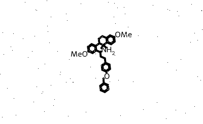 COc1ccc2c(c1)CCC(c1ccc(OC)cc1C(N)CCc1ccc(OCc3ccccc3)cc1)C2(C)C